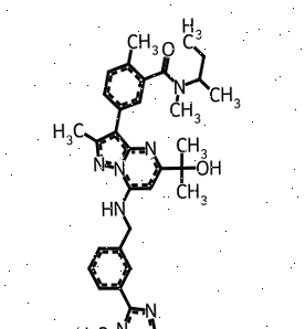 CCC(C)N(C)C(=O)c1cc(-c2c(C)nn3c(NCc4cccc(-c5nccn5C)c4)cc(C(C)(C)O)nc23)ccc1C